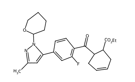 CCOC(=O)C1CC=CCC1C(=O)c1ccc(-c2cc(C)nn2C2CCCCO2)cc1F